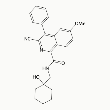 COc1ccc2c(C(=O)NCC3(O)CCCCC3)nc(C#N)c(-c3ccccc3)c2c1